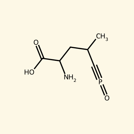 CC(C#P=O)CC(N)C(=O)O